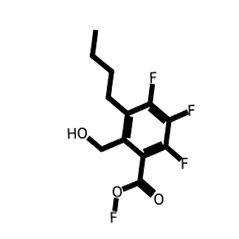 CCCCc1c(F)c(F)c(F)c(C(=O)OF)c1CO